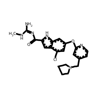 CNC(N)=NC(=O)c1cc2c(Cl)cc(Oc3cc(CN4CCCC4)ccn3)cc2[nH]1